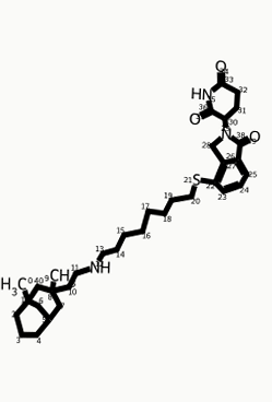 CC12CCCC(C1)CC(C)(CCNCCCCCCCCSc1cccc3c1CN(C1CCC(=O)NC1=O)C3=O)C2